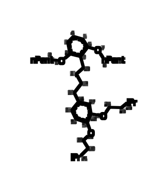 CCCCCOc1cccc(OCCCCC)c1C[CH]CCc1ccc(OCCC(C)C)c(OCCC(C)C)c1